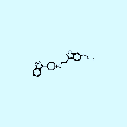 COc1ccc2c(CCON3CCC(c4nsc5ccccc45)CC3)noc2c1